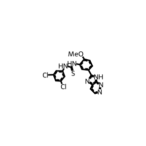 COc1ccc(-c2nc3ccnnc3[nH]2)cc1NC(=S)Nc1cc(Cl)cc(Cl)c1